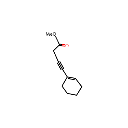 COC(=O)CC#CC1=CC[CH]CC1